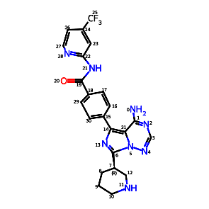 Nc1ncnn2c([C@@H]3CCCNC3)nc(-c3ccc(C(=O)Nc4cc(C(F)(F)F)ccn4)cc3)c12